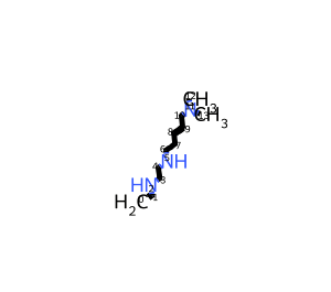 C=CNCCNCC/C=C/CN(C)C